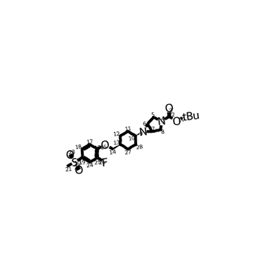 CC(C)(C)OC(=O)N1CC2C(C1)N2[C@H]1CC[C@H](COc2ccc(S(C)(=O)=O)cc2F)CC1